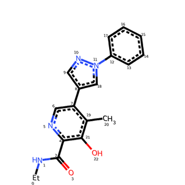 CCNC(=O)c1ncc(-c2cnn(-c3ccccc3)c2)c(C)c1O